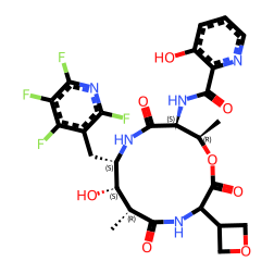 C[C@H]1OC(=O)C(C2COC2)NC(=O)[C@H](C)[C@H](O)[C@H](Cc2c(F)nc(F)c(F)c2F)NC(=O)[C@H]1NC(=O)c1ncccc1O